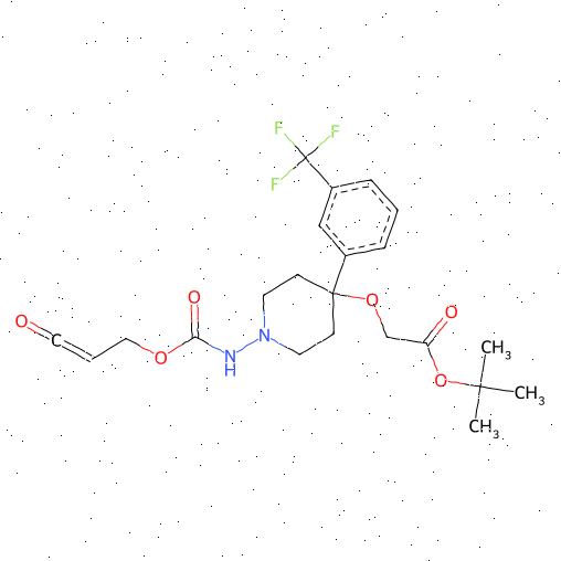 CC(C)(C)OC(=O)COC1(c2cccc(C(F)(F)F)c2)CCN(NC(=O)OCC=C=O)CC1